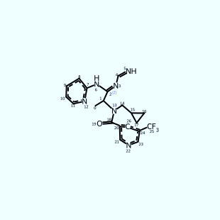 CC(/C(=N/C=N)Nc1ccccn1)N(CC1CC1)C(=O)c1cncc(C(F)(F)F)c1